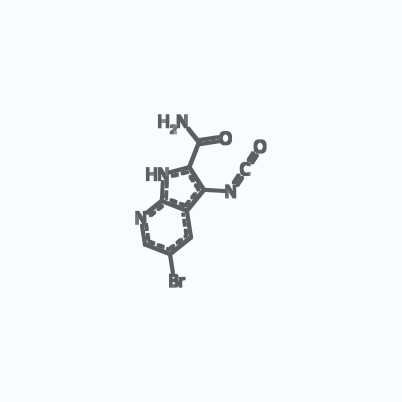 NC(=O)c1[nH]c2ncc(Br)cc2c1N=C=O